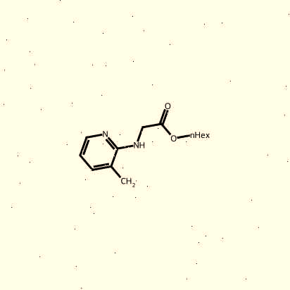 [CH2]c1cccnc1NCC(=O)OCCCCCC